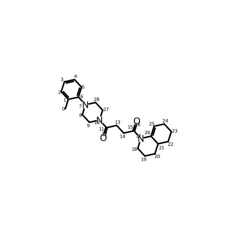 Cc1ccccc1N1CCN(C(=O)CCC(=O)N2CCCC3CCCC=C32)CC1